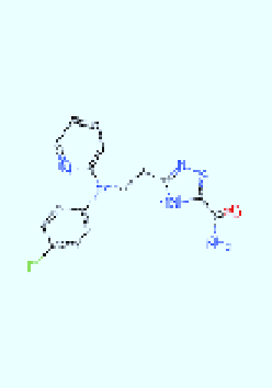 NC(=O)c1nnc([CH]CN(c2ccc(F)cc2)c2ccccn2)[nH]1